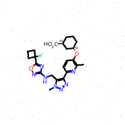 Cc1nc(-c2nnn(C)c2CNc2noc(C3(F)CCC3)n2)ccc1O[C@H]1CCC[C@H](C(=O)O)C1